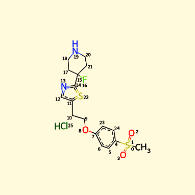 CS(=O)(=O)c1ccc(OCCc2cnc(C3(F)CCNCC3)s2)cc1.Cl